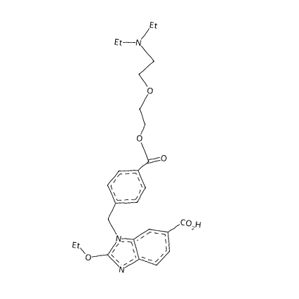 CCOc1nc2ccc(C(=O)O)cc2n1Cc1ccc(C(=O)OCCOCCN(CC)CC)cc1